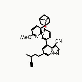 C#CC(C)CCc1cc(-c2ccc(N3CC4CC(C3)N4Cc3ccc(OC)nc3)nc2)c2c(C#N)cnn2c1